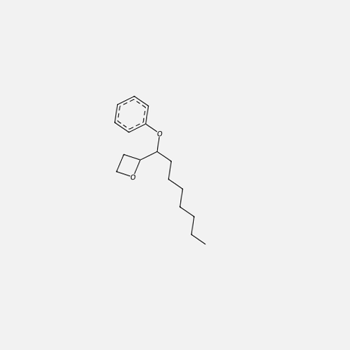 CCCCCCCC(Oc1ccccc1)C1CCO1